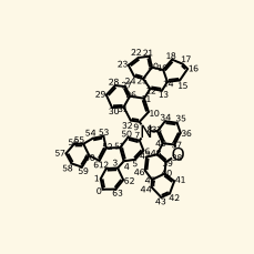 c1ccc(-c2ccc(N(c3cc(-c4cc5ccccc5c5ccccc45)c4ccccc4c3)c3cccc4oc5c6ccccc6ccc5c34)cc2-c2ccc3ccccc3c2)cc1